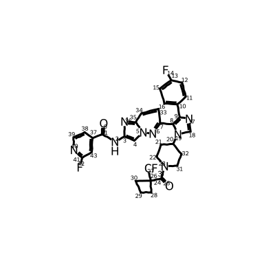 O=C(Nc1cn2nc(-c3c(-c4ccc(F)cc4)ncn3C3CCN(C(=O)C4(C(F)(F)F)CCC4)CC3)ccc2n1)c1ccnc(F)c1